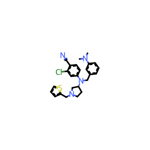 CN(C)c1cccc(CN(c2ccc(C#N)c(Cl)c2)[C@H]2CCN(Cc3cccs3)C2)c1